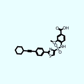 COc1cc(C(=O)O)ccc1NS(=O)(=O)c1csc(-c2ccc(C#CC3CCCCC3)cc2)n1